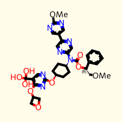 COC[C@H](OC(=O)N(c1cnc(-c2cnc(OC)nc2)cn1)[C@H]1CC[C@H](Oc2ncc(C(O)(O)O)c(OC3COC3)n2)CC1)c1ccccc1